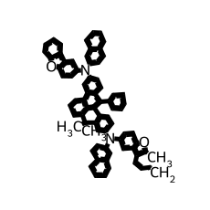 C=C/C=C\c1c(C)oc2ccc(N(c3ccc4c(c3)C(C)(C)c3cccc5c3c-4c(-c3ccccc3)c3ccc(N(c4ccc6ccccc6c4)c4ccc6oc7ccccc7c6c4)cc35)c3ccc4ccccc4c3)cc12